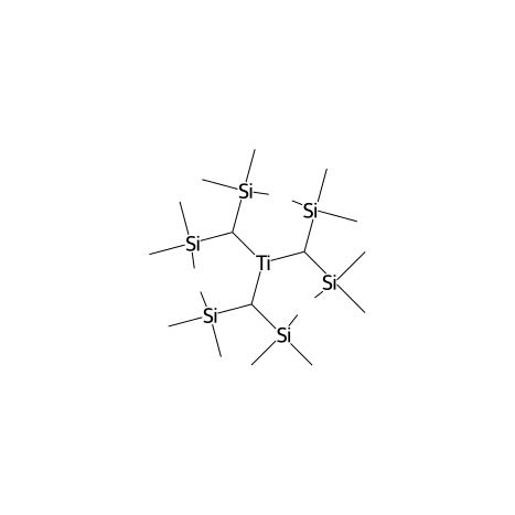 C[Si](C)(C)[CH]([Ti]([CH]([Si](C)(C)C)[Si](C)(C)C)[CH]([Si](C)(C)C)[Si](C)(C)C)[Si](C)(C)C